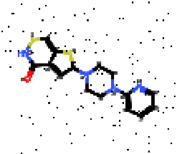 O=C1NSC=C2SC(N3CCN(c4ccccn4)CC3)C=C12